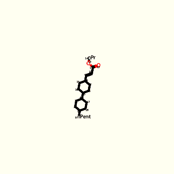 CCCCCC1CCC(C2CCC(C=CC(=O)OCCC)CC2)CC1